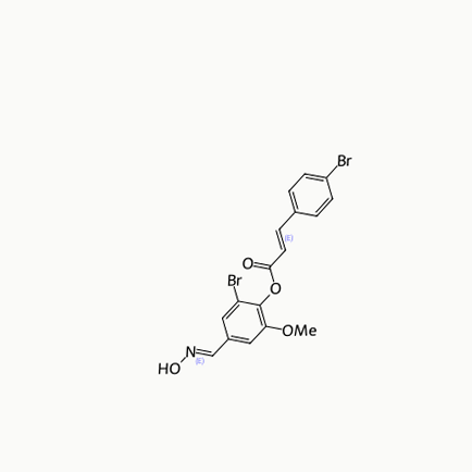 COc1cc(/C=N/O)cc(Br)c1OC(=O)/C=C/c1ccc(Br)cc1